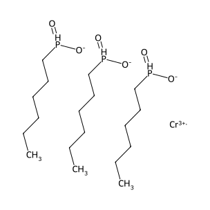 CCCCCC[PH](=O)[O-].CCCCCC[PH](=O)[O-].CCCCCC[PH](=O)[O-].[Cr+3]